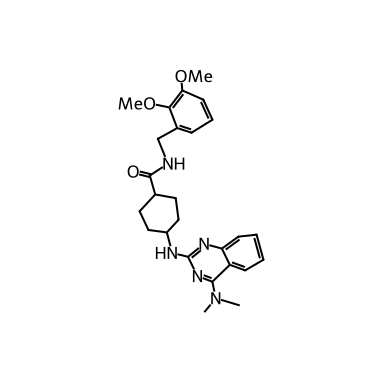 COc1cccc(CNC(=O)C2CCC(Nc3nc(N(C)C)c4ccccc4n3)CC2)c1OC